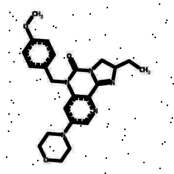 CCC1CN2C(=O)N(Cc3ccc(OC)cc3)c3cc(N4CCOCC4)cnc3C2=N1